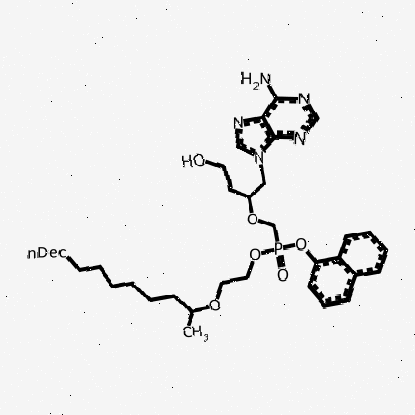 CCCCCCCCCCCCCCCCC(C)OCCOP(=O)(COC(CCO)Cn1cnc2c(N)ncnc21)Oc1cccc2ccccc12